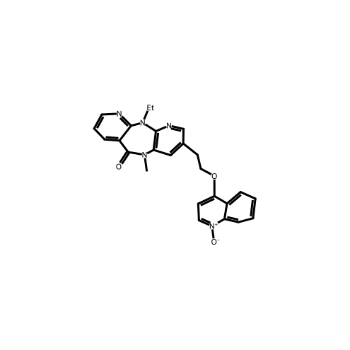 CCN1c2ncccc2C(=O)N(C)c2cc(CCOc3cc[n+]([O-])c4ccccc34)cnc21